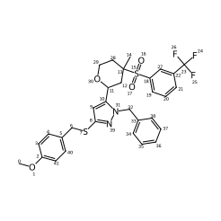 COc1ccc(CSc2cc(C3CC(C)(S(=O)(=O)c4cccc(C(F)(F)F)c4)CCO3)n(Cc3ccccc3)n2)cc1